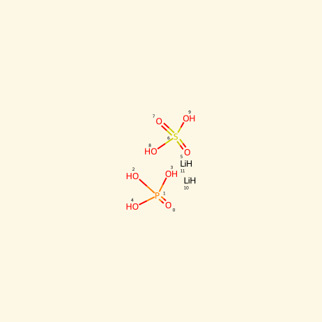 O=P(O)(O)O.O=S(=O)(O)O.[LiH].[LiH]